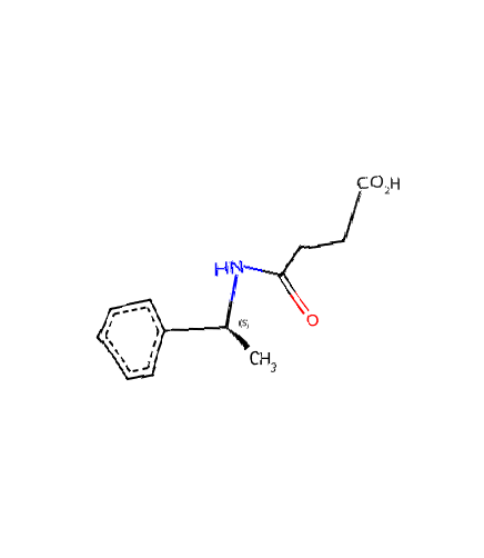 C[C@H](NC(=O)CCC(=O)O)c1ccccc1